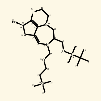 CC(C)(C)[Si](C)(C)OCC1CN2CCOC3=C2C(=CN1COCC[Si](C)(C)C)S[C@H]3Br